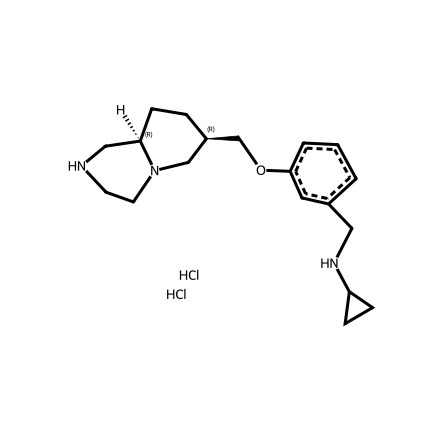 Cl.Cl.c1cc(CNC2CC2)cc(OC[C@@H]2CC[C@@H]3CNCCN3C2)c1